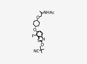 CC(=O)N[C@@H](C)CO[C@H]1CC[C@H](Oc2ccc3nc(OCC(C)(C)C#N)sc3c2F)CC1